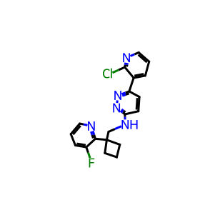 Fc1cccnc1C1(CNc2ccc(-c3cccnc3Cl)nn2)CCC1